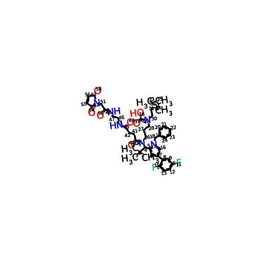 CC(C)(C)C(c1cc(-c2cc(F)ccc2F)cn1Cc1ccccc1)N(CCCN(CC[Si](C)(C)C)C(=O)O)C(=O)CCC(=O)NCCNC(=O)CN1C(=O)C=CC1=O